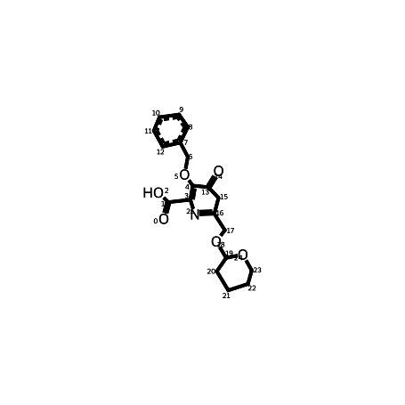 O=C(O)C1=C(OCc2ccccc2)C(=O)CC(COC2CCCCO2)=N1